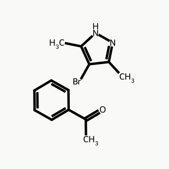 CC(=O)c1ccccc1.Cc1n[nH]c(C)c1Br